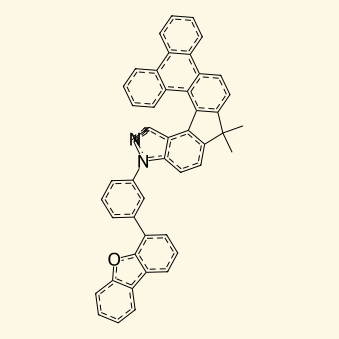 CC1(C)c2ccc3c4ccccc4c4ccccc4c3c2-c2c1ccc1c2c2ccncc2n1-c1cccc(-c2cccc3c2oc2ccccc23)c1